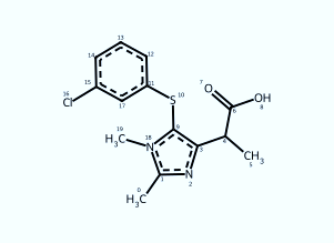 Cc1nc(C(C)C(=O)O)c(Sc2cccc(Cl)c2)n1C